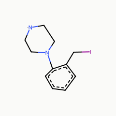 ICc1ccccc1N1CC[N]CC1